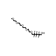 COCCOCCOCCOCCOCC(F)(F)C(F)(F)C(F)(F)CO